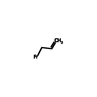 C=C[CH2][Fr]